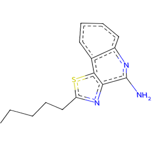 CCCCCc1nc2c(N)nc3ccccc3c2s1